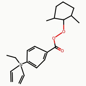 C=C[Si](C=C)(CC)c1ccc(C(=O)OO[C]2C(C)CCCC2C)cc1